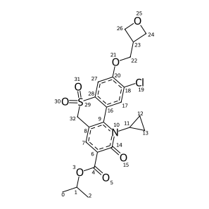 CC(C)OC(=O)c1cc2c(n(C3CC3)c1=O)-c1cc(Cl)c(OCC3COC3)cc1S(=O)(=O)C2